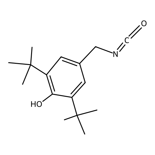 CC(C)(C)c1cc(CN=C=O)cc(C(C)(C)C)c1O